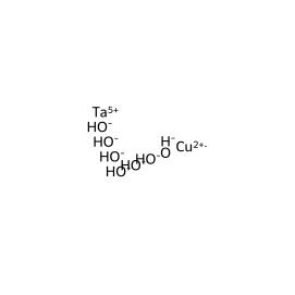 [Cu+2].[OH-].[OH-].[OH-].[OH-].[OH-].[OH-].[OH-].[Ta+5]